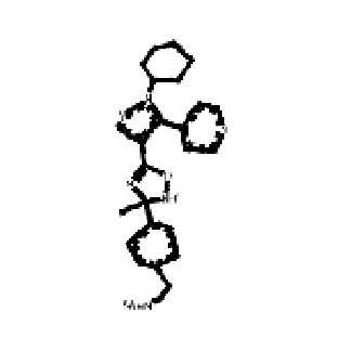 CNCc1ccc(C2(C)N=C(c3cnn(C4CCCCC4)c3-c3ccncc3)ON2)cc1